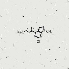 COCCNc1nc(Cl)nc2c1cnn2C